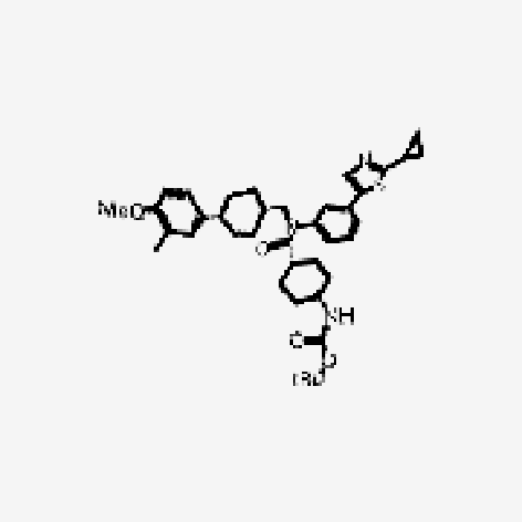 COc1ccc([C@H]2CC[C@H](CN(c3cccc(-c4cnc(C5CC5)s4)c3)C(=O)[C@H]3CC[C@H](NC(=O)OC(C)(C)C)CC3)CC2)cc1C